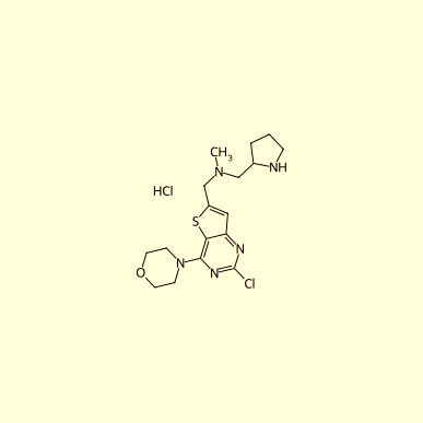 CN(Cc1cc2nc(Cl)nc(N3CCOCC3)c2s1)CC1CCCN1.Cl